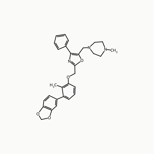 Cc1c(OCc2nc(-c3ccccc3)c(CN3CCN(C)CC3)o2)cccc1-c1ccc2c(c1)OCO2